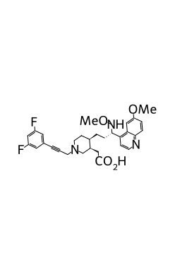 CON[C@@H](CC[C@@H]1CCN(CC#Cc2cc(F)cc(F)c2)C[C@@H]1CC(=O)O)c1ccnc2ccc(OC)cc12